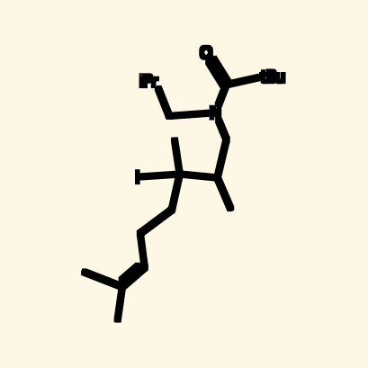 CC(C)=CCCC(C)(I)C(C)CN(CC(C)C)C(=O)C(C)(C)C